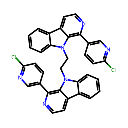 Clc1ccc(-c2nccc3c4ccccc4n(CCn4c5ccccc5c5ccnc(-c6ccc(Cl)nc6)c54)c23)cn1